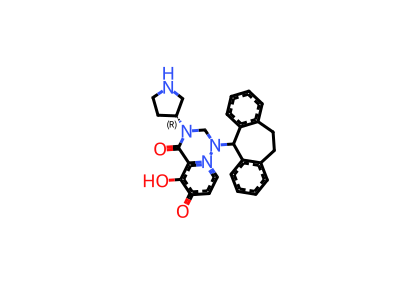 O=C1c2c(O)c(=O)ccn2N(C2c3ccccc3CCc3ccccc32)CN1[C@@H]1CCNC1